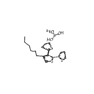 CCCCCCc1csc(-c2cccs2)c1-c1cccs1.OB(O)O